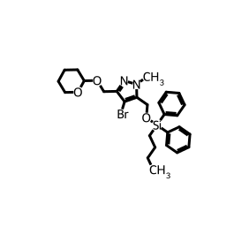 CCCC[Si](OCc1c(Br)c(COC2CCCCO2)nn1C)(c1ccccc1)c1ccccc1